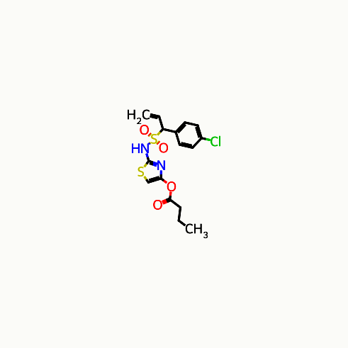 C=CC(c1ccc(Cl)cc1)S(=O)(=O)Nc1nc(OC(=O)CCC)cs1